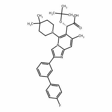 Cc1cc2nc(-c3cccc(-c4ccc(F)cc4)c3)cn2c(N2CCC(C)(C)CC2)c1[C@H](OC(C)(C)C)C(=O)O